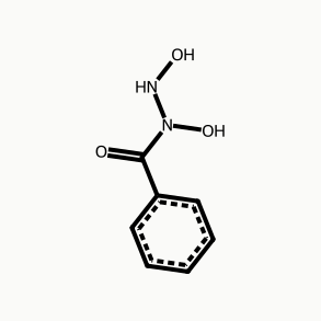 O=C(c1ccccc1)N(O)NO